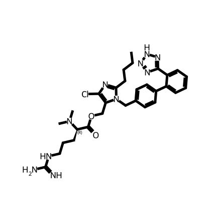 CCCCc1nc(Cl)c(COC(=O)[C@@H](CCCNC(=N)N)N(C)C)n1Cc1ccc(-c2ccccc2-c2nn[nH]n2)cc1